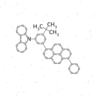 CC(C)(C)c1cc(-c2ccc3ccc4c(-c5ccccc5)ccc5ccc2c3c54)cc(-n2c3ccccc3c3ccccc32)c1